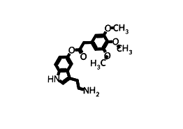 COc1cc(CC(=O)Oc2ccc3[nH]cc(CCN)c3c2)cc(OC)c1OC